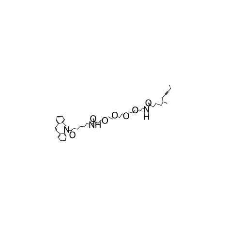 CCC#CC[C@@H](C)CCCC(=O)NCCOCCOCCOCCOCCC(=O)NCCCCCC(=O)N1Cc2ccccc2/C=C\c2ccccc21